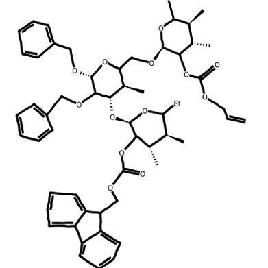 C=CCOC(=O)OC1[C@@H](OCC2O[C@@H](OCc3ccccc3)C(OCc3ccccc3)[C@@H](O[C@H]3OC(CC)[C@@H](C)[C@H](C)C3OC(=O)OCC3c4ccccc4-c4ccccc43)[C@@H]2C)OC(CC)[C@@H](C)[C@@H]1C